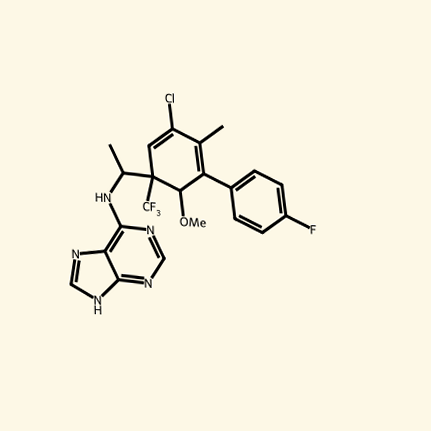 COC1C(c2ccc(F)cc2)=C(C)C(Cl)=CC1(C(C)Nc1ncnc2[nH]cnc12)C(F)(F)F